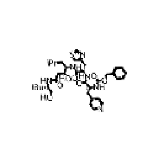 CCC(C)[C@@H](CO)NC(=O)CC(O)C(CC(C)C)NC(=O)[C@H](Cc1cscn1)NC(=O)[C@H](Cc1ccncc1)NC(=O)OCc1ccccc1